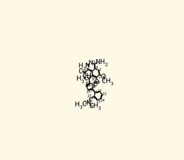 COc1cc2c(N)nnc(C(C)C)c2c(C(C)c2ccc(-c3ccccc3CN(C)C)s2)c1OC